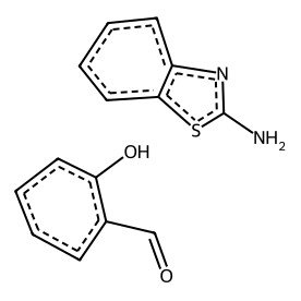 Nc1nc2ccccc2s1.O=Cc1ccccc1O